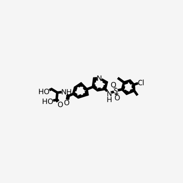 Cc1cc(S(=O)(=O)Nc2cncc(-c3ccc(C(=O)NC(CO)C(=O)O)cc3)c2)c(C)cc1Cl